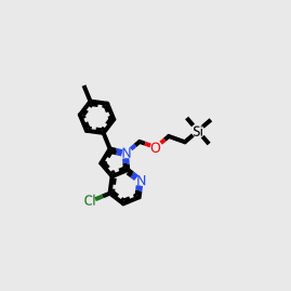 Cc1ccc(-c2cc3c(Cl)ccnc3n2COCC[Si](C)(C)C)cc1